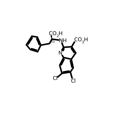 O=C(O)c1cc2cc(Cl)c(Cl)cc2nc1N[C@@H](Cc1ccccc1)C(=O)O